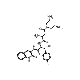 Cc1ccc([C@@H](O)[C@H](NC(=O)[C@@H](N)CC(=O)N(CCN)CCN)C(=O)Nc2cc3ccccc3[nH]c2=O)cc1